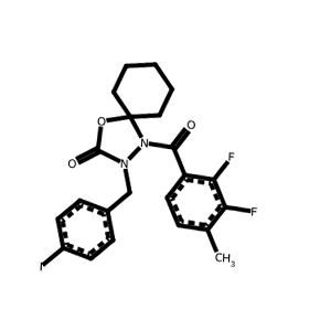 Cc1ccc(C(=O)N2N(Cc3ccc(I)cc3)C(=O)OC23CCCCC3)c(F)c1F